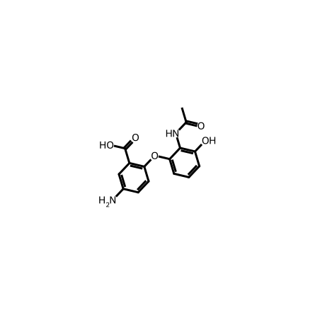 CC(=O)Nc1c(O)cccc1Oc1ccc(N)cc1C(=O)O